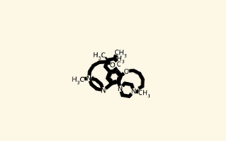 CC(C)[C@H](C)Cc1cc2c3c(c1OCCCC[N+]1(C)CCN2CC1)OCCCC[N+]1(C)CCN3CC1